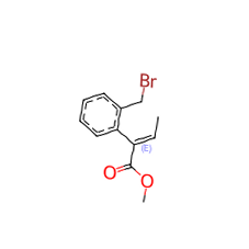 C/C=C(/C(=O)OC)c1ccccc1CBr